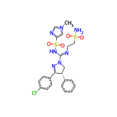 Cn1cnc(S(=O)(=O)NC(=NCCS(N)(=O)=O)N2C[C@H](c3ccccc3)C(c3ccc(Cl)cc3)=N2)c1